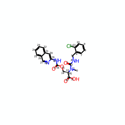 CN(C(=O)NCc1ccccc1Cl)[C@H](COC(=O)Nc1cc2ccccc2cn1)C(=O)O